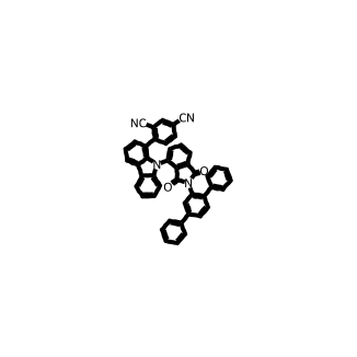 N#Cc1ccc(-c2cccc3c4ccccc4n(-c4cccc5c4C(=O)N(c4cc(-c6ccccc6)ccc4-c4ccccc4)C5=O)c23)c(C#N)c1